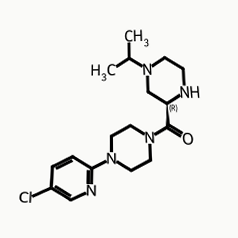 CC(C)N1CCN[C@@H](C(=O)N2CCN(c3ccc(Cl)cn3)CC2)C1